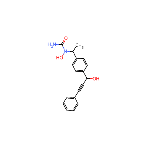 CC(c1ccc(C(O)C#Cc2ccccc2)cc1)N(O)C(N)=O